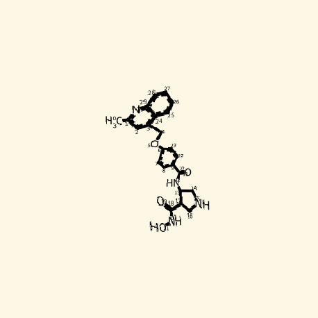 Cc1cc(COc2ccc(C(=O)NC3CNCC3C(=O)NO)cc2)c2ccccc2n1